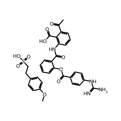 CC(=O)c1cccc(NC(=O)c2ccccc2OC(=O)c2ccc(NC(=N)N)cc2)c1C(=O)O.COc1ccc(CCS(=O)(=O)O)cc1